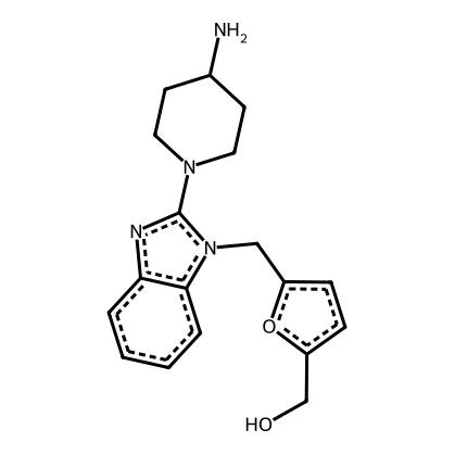 NC1CCN(c2nc3ccccc3n2Cc2ccc(CO)o2)CC1